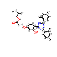 CCCCC(CC)COC(O)CCOc1ccc(-c2nc(-c3ccc(C)cc3C)nc(-c3ccc(C)cc3C)n2)c(O)c1